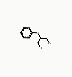 BrCC(CBr)Oc1ccccc1